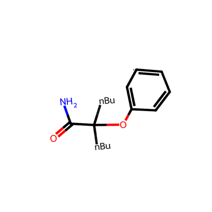 CCCCC(CCCC)(Oc1c[c]ccc1)C(N)=O